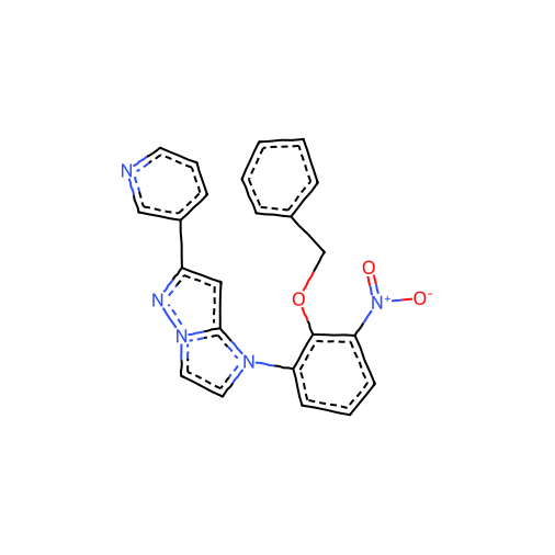 O=[N+]([O-])c1cccc(-n2ccn3nc(-c4cccnc4)cc23)c1OCc1ccccc1